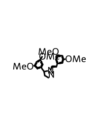 COc1cc(C=CN2N=CCC2c2cc(OC)cc(OC)c2)cc(OC)c1